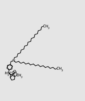 CCCCCCCCCCCCCCCCCCN(CCCCCCCCCCCCCCCCCC)Cc1ccc(/C=C2\C(=O)C3(C)CCC2C3(C)C)cc1